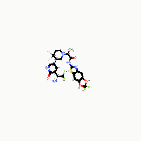 C[C@@H](C(=O)Nc1nc2cc3c(cc2s1)OC(F)(F)O3)N1CCC(F)(F)[C@H](c2c[nH]c(=O)c([C@@H](N)C(F)F)c2)C1